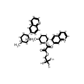 C[C@H]1CC[C@H](c2ccc3ncccc3c2)N(C(=O)C(=O)OCC(F)(F)F)C1.C[C@H]1CC[C@H](c2ccc3ncccc3c2)NC1